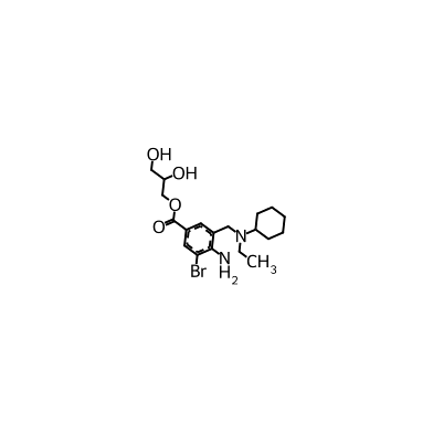 CCN(Cc1cc(C(=O)OCC(O)CO)cc(Br)c1N)C1CCCCC1